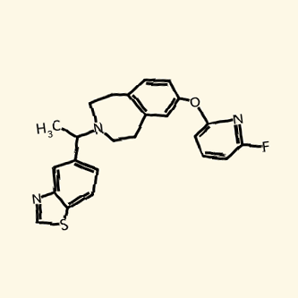 CC(c1ccc2scnc2c1)N1CCc2ccc(Oc3cccc(F)n3)cc2CC1